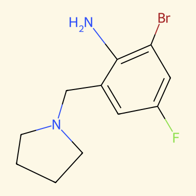 Nc1c(Br)cc(F)cc1CN1CCCC1